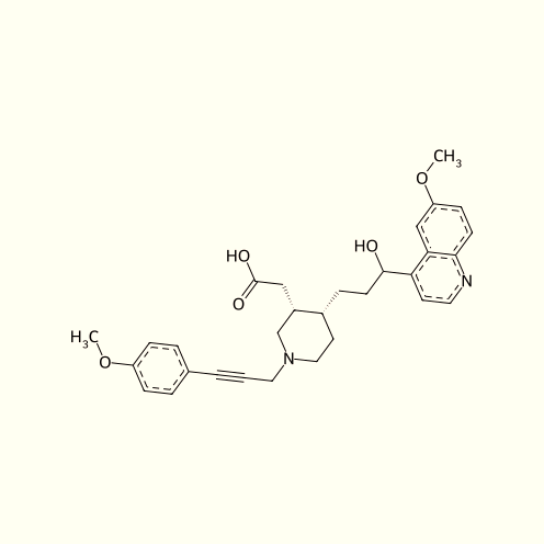 COc1ccc(C#CCN2CC[C@@H](CCC(O)c3ccnc4ccc(OC)cc34)[C@@H](CC(=O)O)C2)cc1